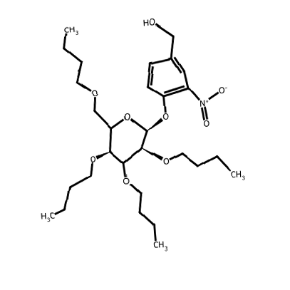 CCCCOCC1O[C@@H](Oc2ccc(CO)cc2[N+](=O)[O-])[C@@H](OCCCC)C(OCCCC)[C@H]1OCCCC